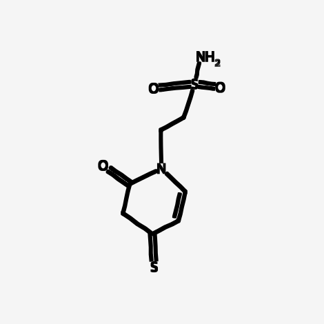 NS(=O)(=O)CCN1C=CC(=S)CC1=O